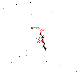 C=CCC=CCOCCCCC.O=S(=O)(O)O